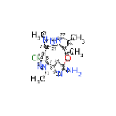 CCn1nc(Cl)c2c1-c1cnc(N)c(c1)OC(C)c1cc(C)cnc1-c1nn(C)cc1C2